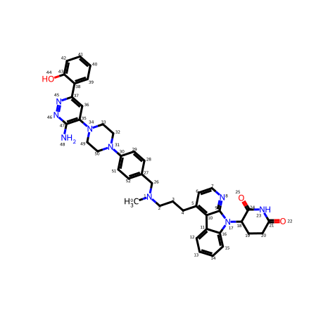 CN(CCCc1ccnc2c1c1ccccc1n2C1CCC(=O)NC1=O)Cc1ccc(N2CCN(c3cc(-c4ccccc4O)nnc3N)CC2)cc1